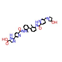 Cc1c(NC(=O)c2ccc(CN3CC[C@@H](O)C3)cn2)cccc1-c1cccc(NC(=O)c2ccc(C3=NCC(C(=O)O)N3)cn2)c1C